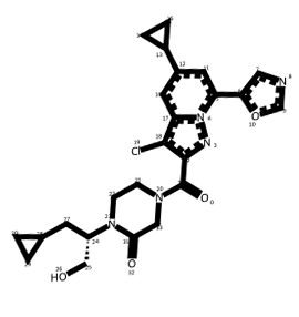 O=C(c1nn2c(-c3cnco3)cc(C3CC3)cc2c1Cl)N1CCN([C@H](CO)CC2CC2)C(=O)C1